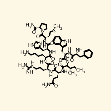 CC[C@H](C)[C@H](NC(=O)[C@H](Cc1c[nH]c2ccccc12)NC(=O)[C@@H](N)Cc1ccccc1)C(=O)N[C@@H](CCC(N)=O)C(=O)N[C@@H](CCCNC(=N)N)C(=O)N[C@@H](CCCCN)C(=O)N[C@@H](Cc1c[nH]cn1)C(=O)N[C@@H](CCSC)C(=O)N1CCC[C@H]1C(N)=O